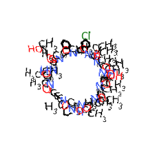 CC(C)C[C@H]1C(=O)N[C@@H](COCC[C@@H](C)O)C(=O)N(C)[C@@H](Cc2ccccc2)C(=O)N(C)[C@@H](Cc2cccc(Cl)c2)C(=O)N[C@@H](COC(C)(C)C)C(=O)N(C)[C@@H](CC(C)C)C(=O)N[C@@H]([C@@H](C)O)C(=O)N(C)[C@@H](CC(C)C)C(=O)N(C)[C@@H](CC(C)C)C(=O)N[C@H](C(=O)N2CCCCC2)CC(=O)N(C)CCCC(=O)N1C